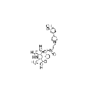 COc1cccc(C2CCN(CCCNC(=O)[C@@H]3CC[C@H](C4C(C(=O)O)=C(C)NC(C)=C4C(=O)O)C3)CC2)c1